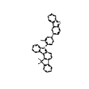 Cc1cc(-c2ccc3oc4ccccc4c3c2)ccc1-n1c2ccccc2c2c3c(ccc21)-c1ccccc1C3(C)C